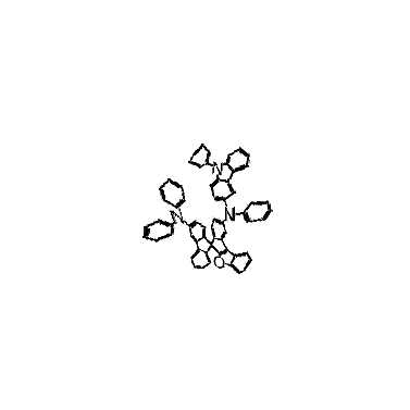 c1ccc(N(c2ccccc2)c2ccc3c(c2)-c2ccccc2C32c3ccc(N(c4ccccc4)c4ccc5c(c4)c4ccccc4n5-c4ccccc4)cc3-c3c2oc2ccccc32)cc1